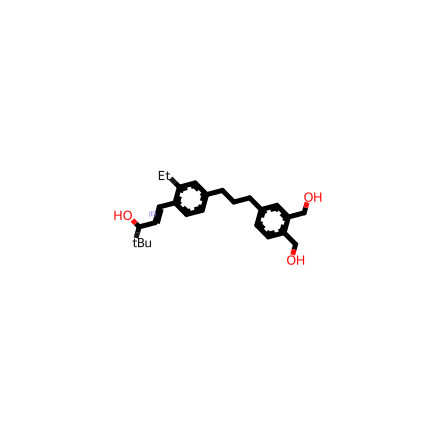 CCc1cc(CCCc2ccc(CO)c(CO)c2)ccc1/C=C/C(O)C(C)(C)C